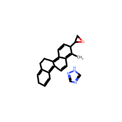 CC1=c2ccc3c(c2C=CC1C1CO1)CCC1=CCC=CC=31.c1nc[nH]n1